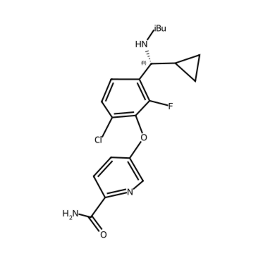 CCC(C)N[C@@H](c1ccc(Cl)c(Oc2ccc(C(N)=O)nc2)c1F)C1CC1